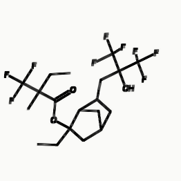 CCC1(OC(=O)C(C)(CC)C(F)(F)F)CC2CC(CC(O)(C(F)(F)F)C(F)(F)F)C1C2